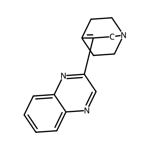 c1ccc2nc(C3=C4CCN(CC4)C3)cnc2c1